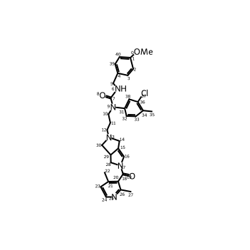 COc1ccc(CNC(=O)N(CCCN2CC3=CN(C(=O)c4c(C)ccnc4C)CC3C2)c2ccc(C)c(Cl)c2)cc1